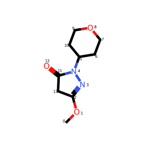 COC1=NN(C2CCOCC2)C(=O)C1